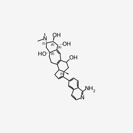 CN(C)[C@H]1C[C@]2(O)CCC3=C(C=C2[C@@H](O)[C@@H]1O)C(O)C[C@]1(C)C(c2ccc4c(N)nccc4c2)=CCC31